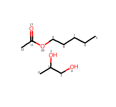 CC(O)CO.CCCCCOC(C)=O